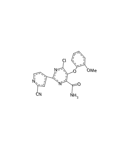 COc1ccccc1Oc1c(Cl)nc(-c2ccnc(C#N)c2)nc1C(N)=O